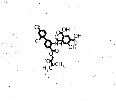 CN(C)C(=O)COC(=O)c1ccc(-c2ccc(Cl)cc2Cl)cc1NC(=O)c1cc(O)c(C(=O)O)cc1C(=O)O